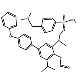 CC(C)c1cc(-c2ccc(Oc3ccccc3)cc2)cc(C(C)CN=S(N)(=O)c2ccc(CN(C)C)cc2)c1CC=O